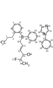 CCCc1ccccc1B(CC=CC(Cl)C(C)F)c1ccccc1.c1ccc(-n2ccnc2)cc1